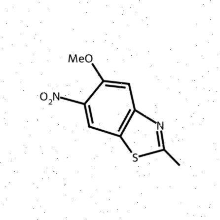 COc1cc2nc(C)sc2cc1[N+](=O)[O-]